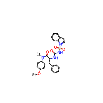 CCOc1ccc(N(CC)C(=O)C(Cc2ccccc2)NC(=O)NS(=O)(=O)n2ccc3ccccc32)cc1